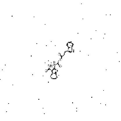 NC(=O)c1c(NC(=O)COC(=O)CCc2c[nH]c3ccccc23)sc2c1CCCC2